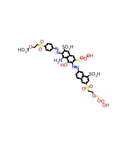 Nc1c(/N=N/c2ccc(S(=O)(=O)CCOS(=O)(=O)O)cc2)c(S(=O)(=O)O)cc2cc(SOOO)c(/N=N/c3ccc4cc(S(=O)(=O)CCOSOOO)cc(S(=O)(=O)O)c4c3)c(O)c12